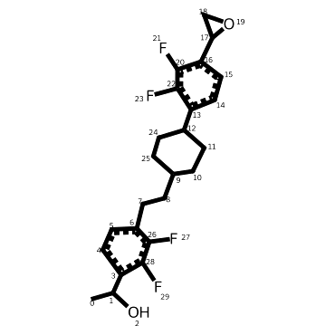 CC(O)c1ccc(CCC2CCC(c3ccc(C4CO4)c(F)c3F)CC2)c(F)c1F